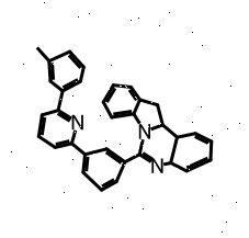 Cc1cccc(-c2cccc(-c3cccc(C4=NC5C=CC=CC5C5Cc6ccccc6N45)c3)n2)c1